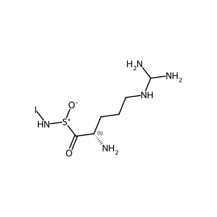 NC(N)NCCC[C@H](N)C(=O)[S+]([O-])NI